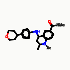 CNC(=O)c1ccc2c(c1)C(Nc1ccc(C3CCOCC3)cc1)CC(C)N2C(C)=O